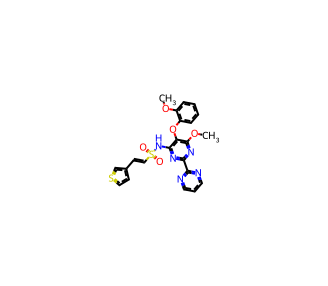 COc1ccccc1Oc1c(NS(=O)(=O)/C=C/c2ccsc2)nc(-c2ncccn2)nc1OC